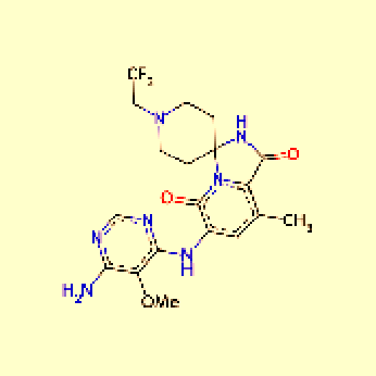 COc1c(N)ncnc1Nc1cc(C)c2n(c1=O)C1(CCN(CC(F)(F)F)CC1)NC2=O